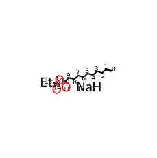 C=CCCCCCCCCC(=O)OC(=O)CC.[NaH]